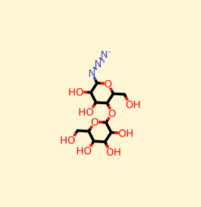 [N-]=[N+]=NC1OC(CO)C(OC2OC(CO)C(O)C(O)C2O)C(O)C1O